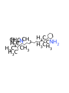 CCCC(C)C(CC)C(C)(C)C(CCCCCCCCC(C)C(C)(C)C1CCC=CC1N)N(C)C